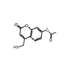 CC(=O)Oc1ccc2c(CS)cc(=O)oc2c1